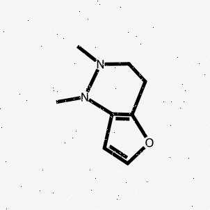 CN1CCc2occc2N1C